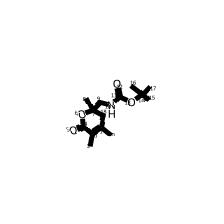 CC1=C(C)C(=O)OC(C)(CNC(=O)OC(C)(C)C)C1